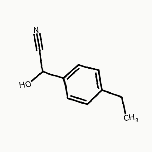 CCc1ccc(C(O)C#N)cc1